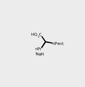 [CH2]CCC(CCCCC)C(=O)O.[NaH]